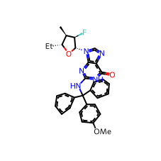 CC[C@H]1O[C@@H](n2cnc3c(=O)[nH]c(NC(c4ccccc4)(c4ccccc4)c4ccc(OC)cc4)nc32)[C@H](F)[C@@H]1C